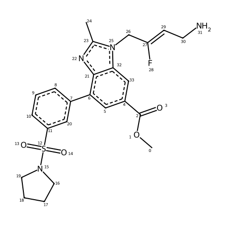 COC(=O)c1cc(-c2cccc(S(=O)(=O)N3CCCC3)c2)c2nc(C)n(C/C(F)=C/CN)c2c1